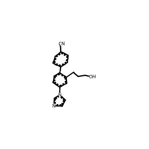 N#Cc1ccc(-c2ccc(-n3ccnc3)cc2CCCO)cc1